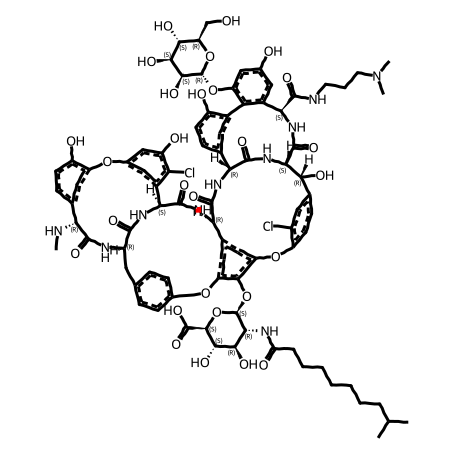 CN[C@H]1C(=O)N[C@@H]2Cc3ccc(cc3)Oc3cc4cc(c3O[C@@H]3O[C@H](C(=O)O)[C@@H](O)[C@H](O)[C@H]3NC(=O)CCCCCCCC(C)C)Oc3ccc(cc3Cl)[C@@H](O)[C@@H]3NC(=O)[C@H](NC(=O)[C@@H]4NC(=O)[C@@H](NC2=O)c2cc(cc(O)c2Cl)Oc2cc1ccc2O)c1ccc(O)c(c1)-c1c(O[C@H]2O[C@H](CO)[C@@H](O)[C@H](O)[C@@H]2O)cc(O)cc1[C@@H](C(=O)NCCCN(C)C)NC3=O